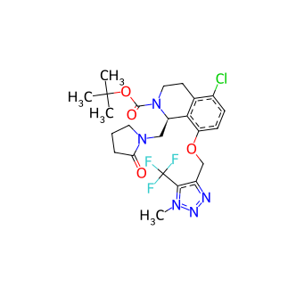 Cn1nnc(COc2ccc(Cl)c3c2[C@@H](CN2CCCC2=O)N(C(=O)OC(C)(C)C)CC3)c1C(F)(F)F